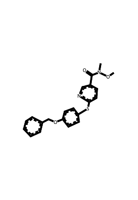 CON(C)C(=O)c1ccc(Sc2ccc(OCc3ccccc3)cc2)nc1